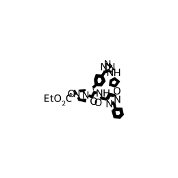 CCOC(=O)ON1CCN(C(=O)[C@H](Cc2ccc(-c3nnn[nH]3)cc2)NC(=O)c2cc(OC3CCCC3)nc(-c3ccccc3)n2)CC1